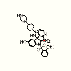 CCOc1ccccc1S(=O)(=O)N1C(=O)C(NC(=O)N2CCC(N3CCNCC3)CC2)(c2cccnc2OCC)c2cc(C#N)ccc21